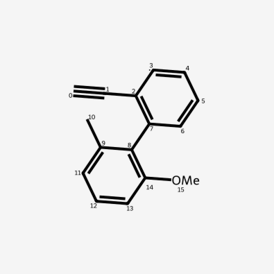 C#Cc1[c]cccc1-c1c(C)cccc1OC